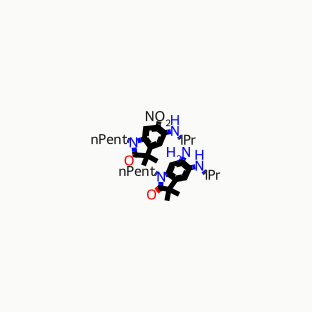 CCCCCN1C(=O)C(C)(C)c2cc(NC(C)C)c(N)cc21.CCCCCN1C(=O)C(C)(C)c2cc(NC(C)C)c([N+](=O)[O-])cc21